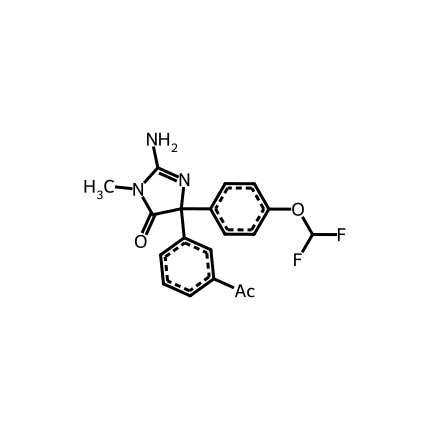 CC(=O)c1cccc(C2(c3ccc(OC(F)F)cc3)N=C(N)N(C)C2=O)c1